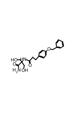 NC(=O)C(CO)(CO)NC(=O)[CH]Cc1ccc(OCc2ccccc2)cc1